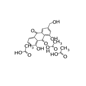 CC(=O)O.CC(=O)O.CC(=O)O.O=C1c2cccc(O)c2C(=O)c2c(O)cc(CO)cc21